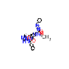 CCC(=O)NC(Cc1ccc(NC(=O)C(NC(=O)c2ccnn2C)C2Cc3ccccc3C2)cc1)C(=O)N1CCN(Cc2ccccc2)CC1